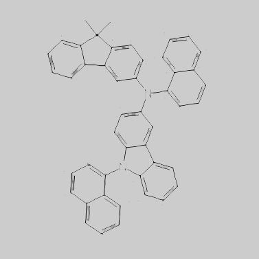 CC1(C)c2ccccc2-c2cc(N(c3ccc4c(c3)c3ccccc3n4-c3cccc4ccccc34)c3cccc4ccccc34)ccc21